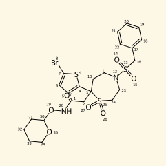 O=C(CC1(c2ccc(Br)s2)CCN(S(=O)(=O)Cc2ccccc2)CCS1(=O)=O)NOC1CCCCO1